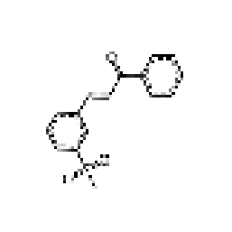 CS(=O)(=O)c1cccc(C=CC(=O)c2ccccc2)c1